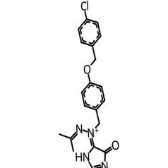 CC(C)=N[N+](Cc1ccc(OCc2ccc(Cl)cc2)cc1)=C1NC=NC1=O